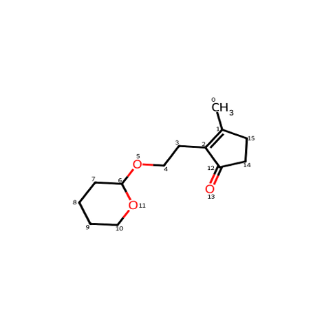 CC1=C(CCOC2CCCCO2)C(=O)CC1